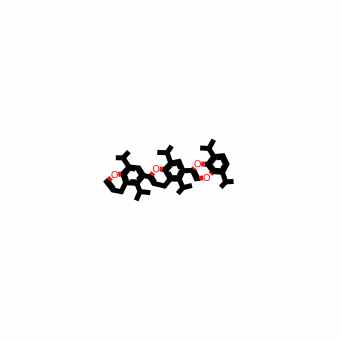 CC(C)c1cc(C2=CCc3c(c(C(C)C)cc(C4=COc5c(C(C)C)ccc(C(C)C)c5O4)c3C(C)C)O2)c(C(C)C)c2c1OC=CC2